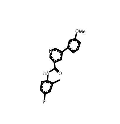 COc1cccc(-c2cncc(C(=O)Nc3ccc(F)cc3C)c2)c1